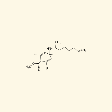 C=CCCCCC(C)NC1(F)C=C(F)C(C(=O)OC)C(F)=C1